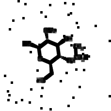 CC(=O)O.CO[C@@H]1[C@@H](O)[C@H](O)[C@@H](CO)O[C@H]1O